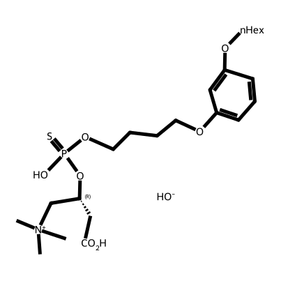 CCCCCCOc1cccc(OCCCCOP(O)(=S)O[C@H](CC(=O)O)C[N+](C)(C)C)c1.[OH-]